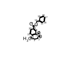 CN1CCS(=O)(=O)c2cc(C(=O)OCc3ccccc3)ccc21